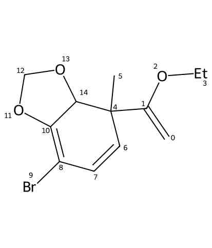 C=C(OCC)C1(C)C=CC(Br)=C2OCOC21